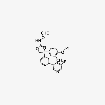 Cc1cc(C2(c3cccc(-c4cncc(F)c4)c3)COC(NOC=O)=N2)ccc1OC(C)C